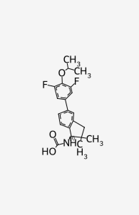 CC(C)Oc1c(F)cc(-c2ccc3c(c2)CC(C)(C)[C@H]3NC(=O)O)cc1F